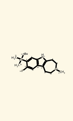 CN1CCc2[nH]c3cc(S(C)(C)C(C)(C)C)c(F)cc3c2CC1